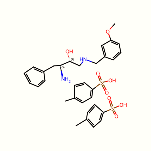 COc1cccc(CNC[C@@H](O)[C@@H](N)Cc2ccccc2)c1.Cc1ccc(S(=O)(=O)O)cc1.Cc1ccc(S(=O)(=O)O)cc1